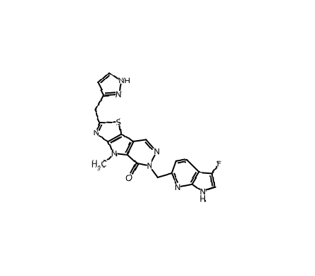 Cn1c2nc(Cc3cc[nH]n3)sc2c2cnn(Cc3ccc4c(F)c[nH]c4n3)c(=O)c21